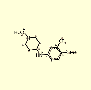 CSc1ccc(NC2CCN(C(=O)O)CC2)cc1C(F)(F)F